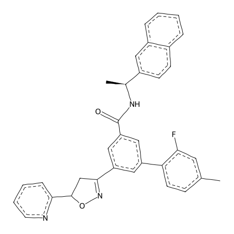 Cc1ccc(-c2cc(C(=O)N[C@@H](C)c3ccc4ccccc4c3)cc(C3=NOC(c4ccccn4)C3)c2)c(F)c1